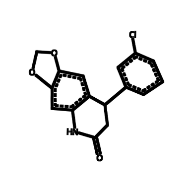 O=C1CC(c2cccc(Cl)c2)c2cc3c(cc2N1)OCO3